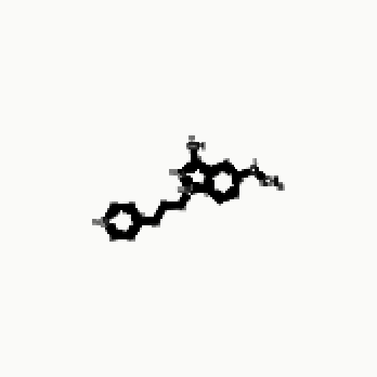 COc1ccc2c(c1)c(O)nn2CCCc1ccncc1